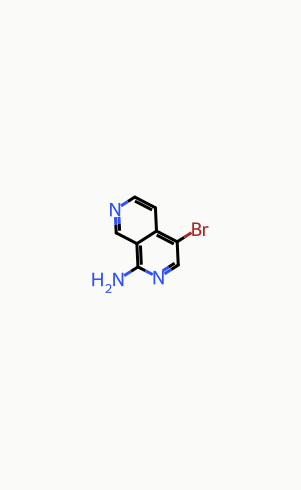 Nc1ncc(Br)c2ccncc12